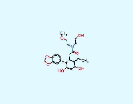 CCc1c(O)cc(O)c(-c2ccc3c(c2)OCO3)c1CC(=O)N(CCO)CCOC